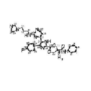 CC1(C(=O)Nc2ccccc2)COC(c2nc(-c3ccc(F)cc3)c(-c3ccnc(NCCCN4CC=NC4)n3)[nH]2)OC1